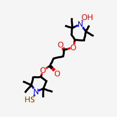 CC1(C)CC(OC(=O)CCC(=O)OC2CC(C)(C)N(S)C(C)(C)C2)CC(C)(C)N1O